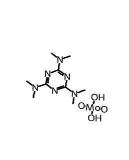 CN(C)c1nc(N(C)C)nc(N(C)C)n1.[O]=[Mo](=[O])([OH])[OH]